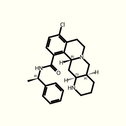 C[C@@H](NC(=O)c1ccc(Cl)c2c1[C@H]1C[C@@H]3NCCC[C@@H]3CN1CC2)c1ccccc1